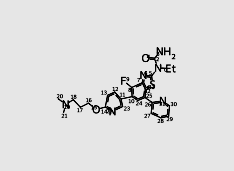 CCN(C(N)=O)c1nc2c(F)c(-c3ccc(OCCCN(C)C)nc3)cc(-c3ccccn3)c2s1